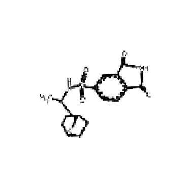 CC(NS(=O)(=O)c1ccc2c(c1)C(=O)NC2=O)C1CC2CCC1CC2